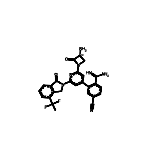 CC(F)(F)c1cccc2c1CN(c1cc(-c3cc(C#N)ccc3C(=N)N)cc(N3C[C@H](N)C3=O)n1)C2=O